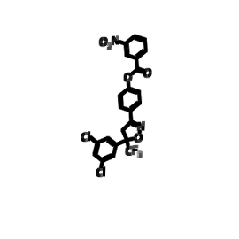 O=C(Oc1ccc(C2=NOC(c3cc(Cl)cc(Cl)c3)(C(F)(F)F)C2)cc1)c1cccc([N+](=O)[O-])c1